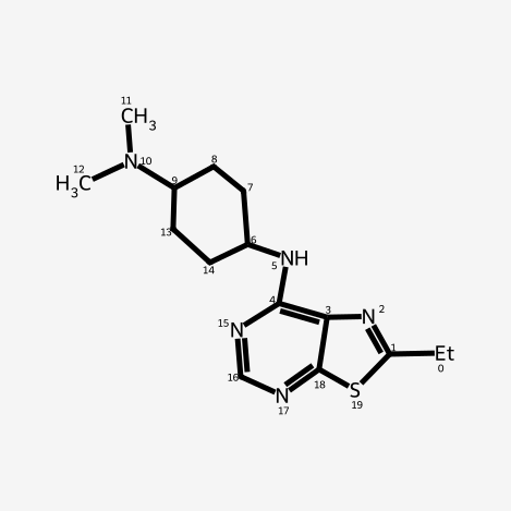 CCc1nc2c(NC3CCC(N(C)C)CC3)ncnc2s1